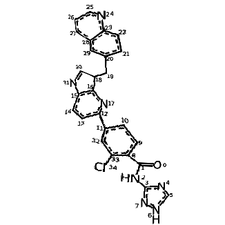 O=C(Nc1nc[nH]n1)c1ccc(-c2ccc3c(n2)C(Cc2ccc4ncccc4c2)C=N3)cc1Cl